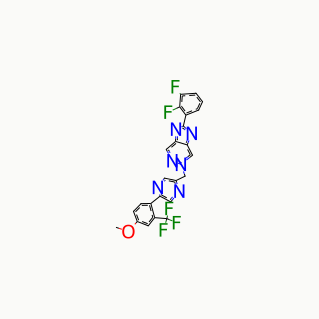 COc1ccc(-c2cnc(Cn3cc4nc(-c5cccc(F)c5F)nc-4cn3)cn2)c(C(F)(F)F)c1